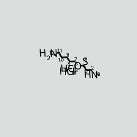 CNCCC(=S)OCCCCCN.Cl.Cl